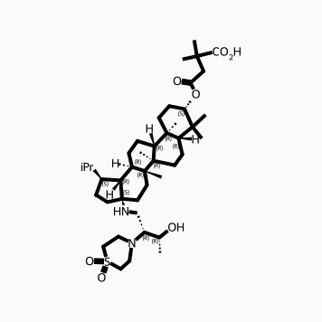 CC(C)[C@@H]1CC[C@]2(NC[C@H]([C@@H](C)O)N3CCS(=O)(=O)CC3)CC[C@]3(C)[C@H](CC[C@@H]4[C@@]5(C)CC[C@H](OC(=O)CC(C)(C)C(=O)O)C(C)(C)[C@@H]5CC[C@]43C)[C@@H]12